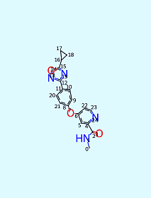 CNC(=O)c1cc(Oc2ccc(-c3noc(C4CC4)n3)cc2)ccn1